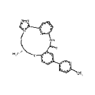 Cc1ccc(-c2ccc3c(c2)C(=O)Nc2cccc(n2)-c2nncn2CC[C@@H](C)CO3)cn1